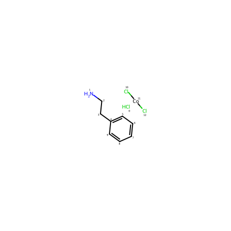 Cl.NCCc1ccccc1.[Cl][Co][Cl]